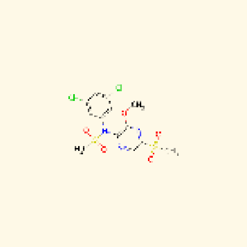 COc1nc(S(C)(=O)=O)cnc1N(c1cc(Cl)cc(Cl)c1)S(C)(=O)=O